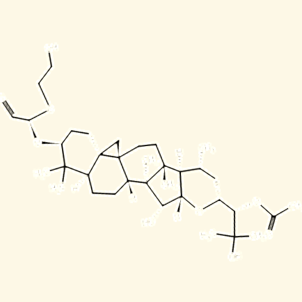 CC(=O)O[C@@H]([C@H]1C[C@@H](C)[C@H]2[C@H](O1)[C@H](O)[C@@]1(C)[C@@H]3CC[C@H]4C(C)(C)[C@@H](O[C@@H](C=O)OCCO)CC[C@@]45C[C@@]35CC[C@]21C)C(C)(C)O